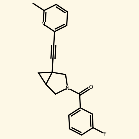 Cc1cccc(C#CC23CC2CN(C(=O)c2cccc(F)c2)C3)n1